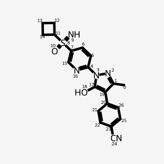 Cc1nn(-c2ccc(S(=N)(=O)C3CCC3)cn2)c(O)c1-c1ccc(C#N)cc1